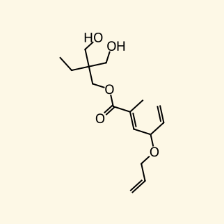 C=CCOC(C=C)C=C(C)C(=O)OCC(CC)(CO)CO